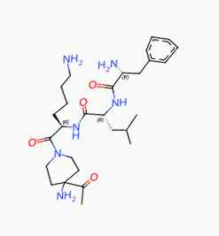 CC(=O)C1(N)CCN(C(=O)[C@@H](CCCCN)NC(=O)[C@@H](CC(C)C)NC(=O)[C@H](N)Cc2ccccc2)CC1